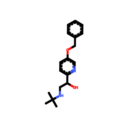 CC(C)(C)NCC(O)c1ccc(OCc2ccccc2)cn1